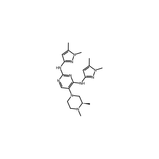 Cc1cc(Nc2ncc(N3CCN(C)[C@H](C)C3)c(Nc3cc(C)n(C)n3)n2)nn1C